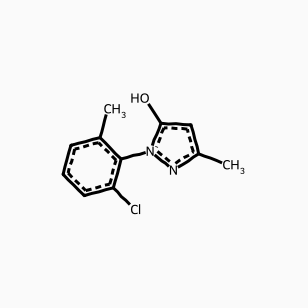 Cc1cc(O)n(-c2c(C)cccc2Cl)n1